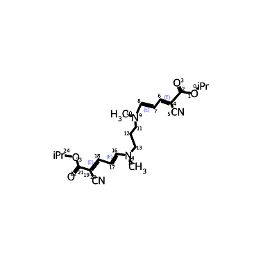 CC(C)OC(=O)/C(C#N)=C/C=C/N(C)CCCN(C)/C=C/C=C(\C#N)C(=O)OC(C)C